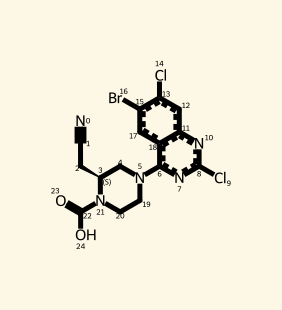 N#CC[C@H]1CN(c2nc(Cl)nc3cc(Cl)c(Br)cc23)CCN1C(=O)O